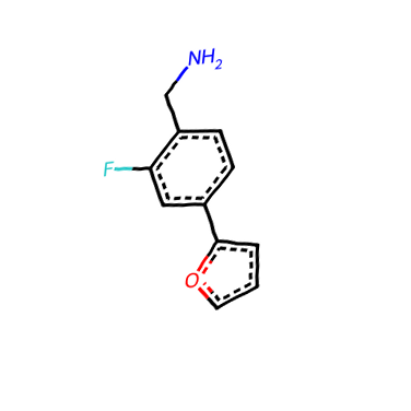 NCc1ccc(-c2ccco2)cc1F